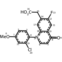 COc1ccc(-n2ccc(=O)c3cc(F)c(CC(=O)O)cc32)c(Cl)c1